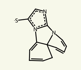 [S]c1cnc2n1C1=CC=CCC13C=CC=CN23